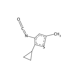 Cc1cc(N=C=O)c(C2CC2)s1